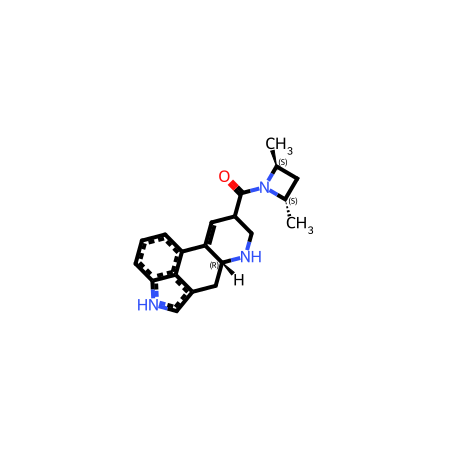 C[C@H]1C[C@H](C)N1C(=O)C1C=C2c3cccc4[nH]cc(c34)C[C@H]2NC1